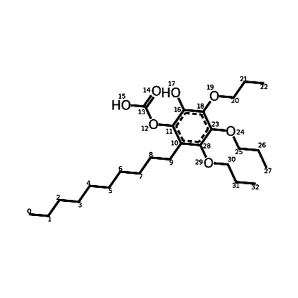 CCCCCCCCCCc1c(OC(=O)O)c(O)c(OCCC)c(OCCC)c1OCCC